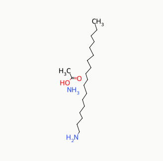 CC(=O)O.CCCCCCCCCCCCCCCCCCN.N